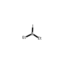 CCB(I)CC